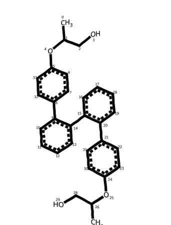 CC(CO)Oc1ccc(-c2ccccc2-c2ccccc2-c2ccc(OC(C)CO)cc2)cc1